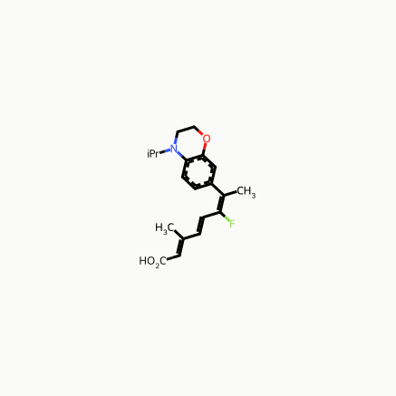 CC(/C=C/C(F)=C(/C)c1ccc2c(c1)OCCN2C(C)C)=C\C(=O)O